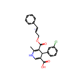 CC1=C(C(=O)OC/C=C/c2ccccc2)C(c2cccc(Cl)c2)C(C(=O)O)=CN1